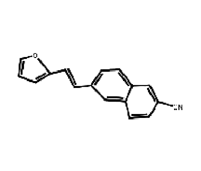 N#Cc1ccc2cc(C=Cc3ccco3)ccc2c1